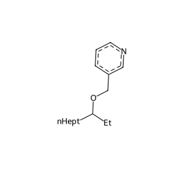 CCCCCCCC(CC)OCc1cccnc1